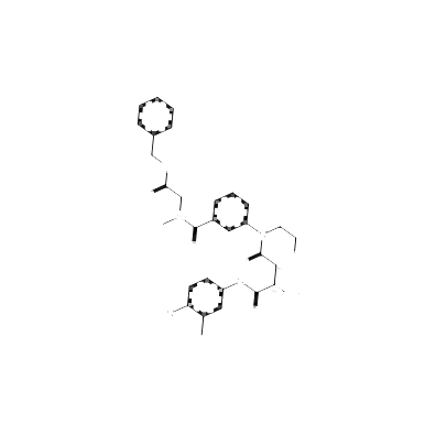 [C-]#[N+]c1ccc(NC(=O)[C@H](OC(C)=O)[C@H]2OCCN(c3cccc(C(=O)N(C)CC(=O)OCc4ccccc4)c3)C2=O)cc1C